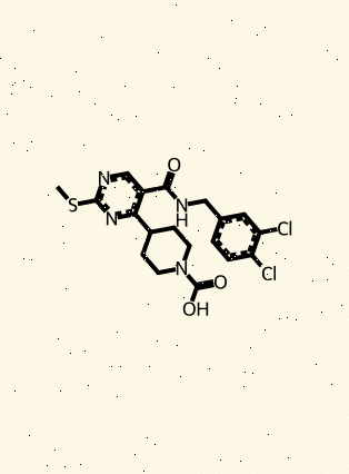 CSc1ncc(C(=O)NCc2ccc(Cl)c(Cl)c2)c(C2CCN(C(=O)O)CC2)n1